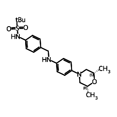 C[C@@H]1CN(c2ccc(NCc3ccc(NS(=O)(=O)C(C)(C)C)cc3)cc2)C[C@H](C)O1